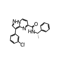 C[C@H](NC(=O)c1ccn2ncc(-c3cccc(Cl)c3)c2n1)c1ccccc1